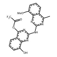 COc1cccc2c(C)nc(Nc3nc(OC(=O)C(F)(F)F)c4cccc(O)c4n3)nc12